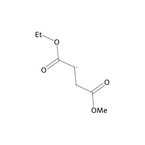 CCOC(=O)[CH]CC(=O)OC